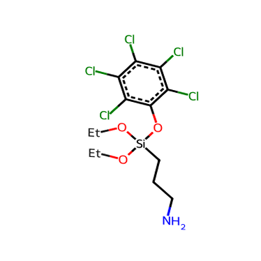 CCO[Si](CCCN)(OCC)Oc1c(Cl)c(Cl)c(Cl)c(Cl)c1Cl